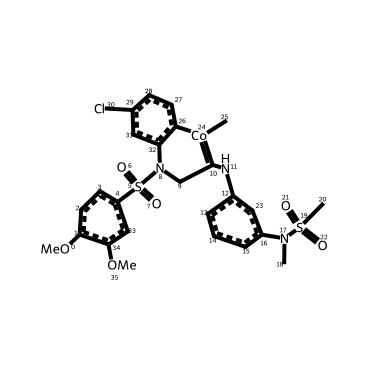 COc1ccc(S(=O)(=O)N2C[C](Nc3cccc(N(C)S(C)(=O)=O)c3)=[Co]([CH3])[c]3ccc(Cl)cc32)cc1OC